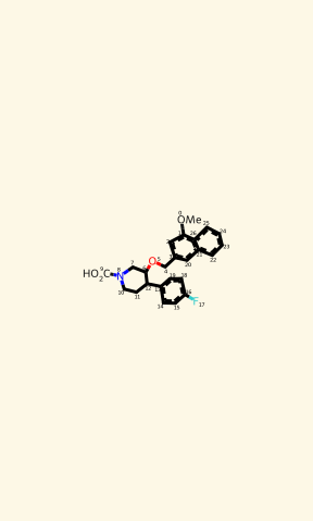 COc1cc(COC2CN(C(=O)O)CCC2c2ccc(F)cc2)cc2ccccc12